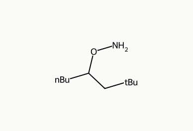 CCCCC(CC(C)(C)C)ON